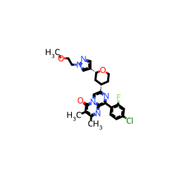 COCCn1cc([C@H]2C[C@@H](c3cn4c(=O)c(C)c(C)nc4c(-c4ccc(Cl)cc4F)n3)CCO2)cn1